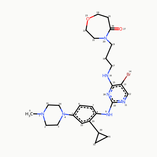 CN1CCN(c2ccc(Nc3ncc(Br)c(NCCCN4CCOCCC4=O)n3)c(C3CC3)c2)CC1